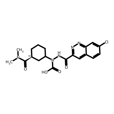 CN(C)C(=O)[C@H]1CCCC(N(NC(=O)c2cc3ccc(Cl)cc3nn2)C(=O)O)C1